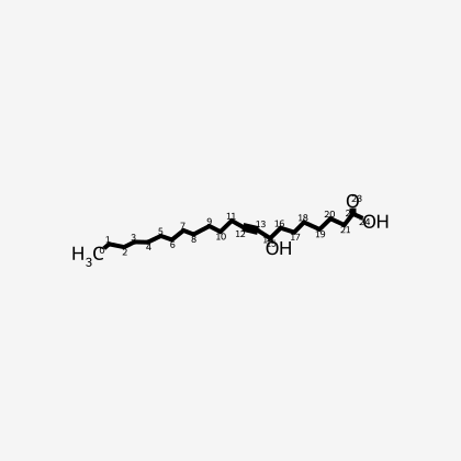 CCCCCCCCCCCCC#CC(O)CCCCCCC(=O)O